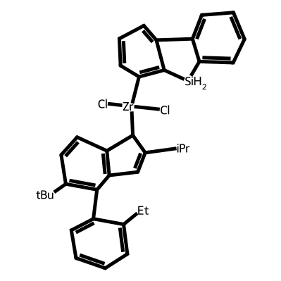 CCc1ccccc1-c1c(C(C)(C)C)ccc2c1C=C(C(C)C)[CH]2[Zr]([Cl])([Cl])[c]1cccc2c1[SiH2]c1ccccc1-2